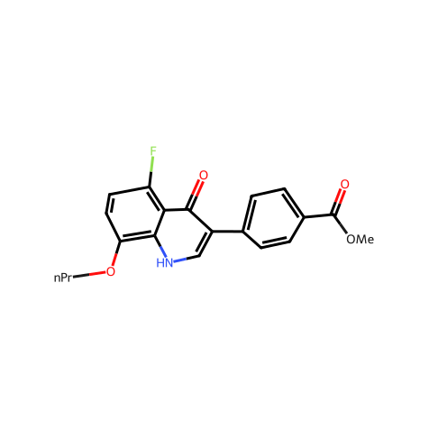 CCCOc1ccc(F)c2c(=O)c(-c3ccc(C(=O)OC)cc3)c[nH]c12